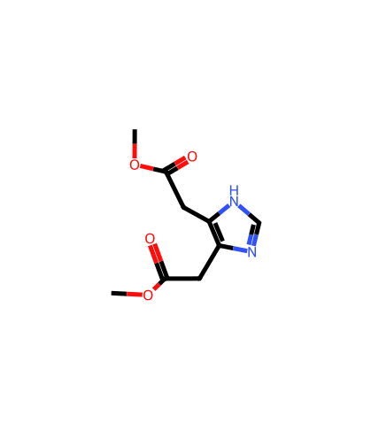 COC(=O)Cc1nc[nH]c1CC(=O)OC